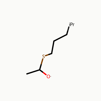 CC(C)CCCSC(C)[O]